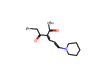 CCCCC(=O)/C(=C\C=C\N1CCCCC1)C(=O)CC(C)C